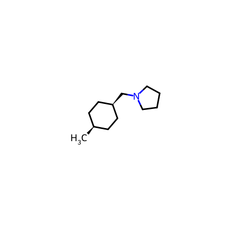 C[C@H]1CC[C@@H](CN2CCCC2)CC1